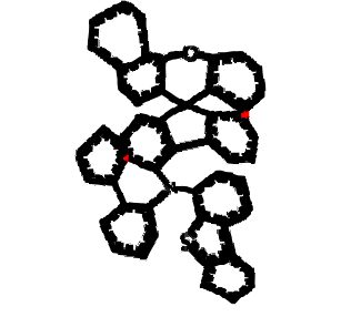 c1ccc(-c2ccccc2N(c2cccc3c2-c2ccccc2C32c3ccccc3Oc3c2ccc2ccccc32)c2cccc3c2sc2ccccc23)cc1